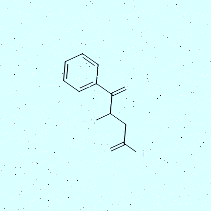 NC(CC(=O)O)C(=O)c1ccccc1